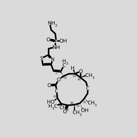 C/C(=C\c1csc(CNP(=O)(O)CCN)n1)[C@@H]1C[C@@H]2O[C@]2(C)CCC[C@H](C)[C@H](O)[C@@H](C)C(=O)C(C)(C)[C@@H](O)CC(=O)O1